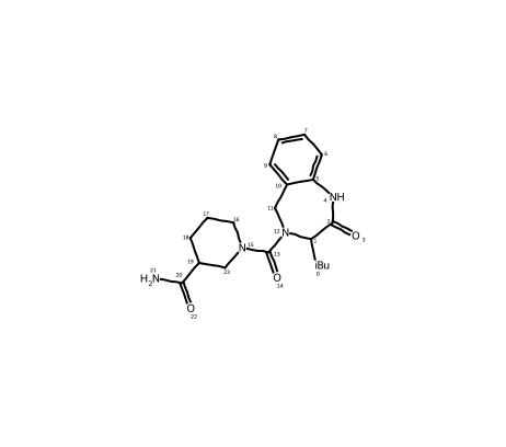 CCC(C)C1C(=O)Nc2ccccc2CN1C(=O)N1CCCC(C(N)=O)C1